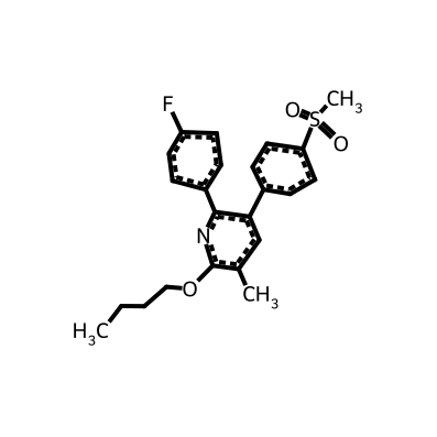 CCCCOc1nc(-c2ccc(F)cc2)c(-c2ccc(S(C)(=O)=O)cc2)cc1C